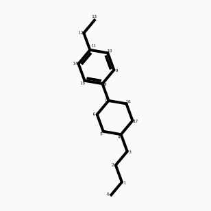 CCCCC1CCC(c2ccc(CC)cc2)CC1